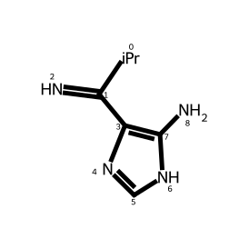 CC(C)C(=N)c1nc[nH]c1N